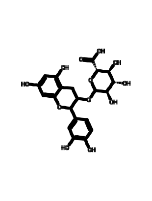 O=C(O)[C@H]1OC(OC2Cc3c(O)cc(O)cc3OC2c2ccc(O)c(O)c2)[C@H](O)[C@@H](O)[C@@H]1O